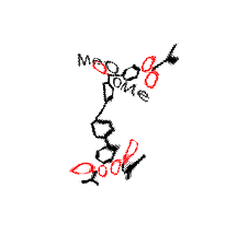 C=C(C)C(=O)Oc1ccc(C(OC)(OC)C(=O)c2ccc(-c3ccc(-c4ccc(OC(=O)C(=C)C)c(OC(=O)C(=C)C)c4)cc3)cc2)cc1